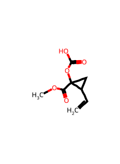 C=CC1CC1(OC(=O)O)C(=O)OC